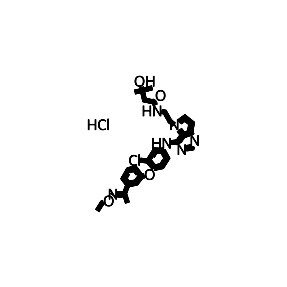 CCO/N=C(\C)c1cccc(Oc2ccc(Nc3ncnc4ccn(CCNC(=O)CC(C)(C)O)c34)cc2Cl)c1.Cl